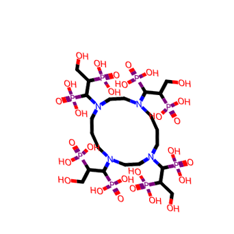 O=P(O)(O)C(CO)C(N1CCCN(C(C(CO)P(=O)(O)O)P(=O)(O)O)CCN(C(C(CO)P(=O)(O)O)P(=O)(O)O)CCCN(C(C(CO)P(=O)(O)O)P(=O)(O)O)CC1)P(=O)(O)O